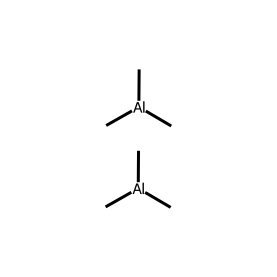 [CH3][Al]([CH3])[CH3].[CH3][Al]([CH3])[CH3]